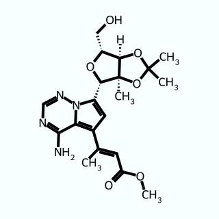 COC(=O)/C=C(\C)c1cc([C@@H]2O[C@H](CO)[C@H]3OC(C)(C)O[C@]32C)n2ncnc(N)c12